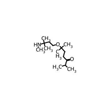 CNC(C)(C)CCOC(C)(C)CCC(=O)C(C)C